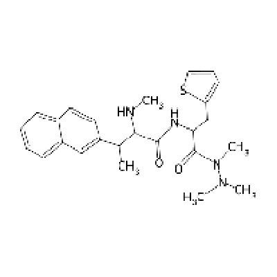 CNC(C(=O)NC(Cc1cccs1)C(=O)N(C)N(C)C)C(C)c1ccc2ccccc2c1